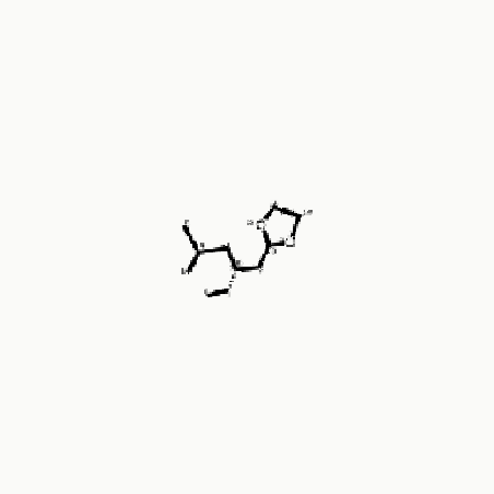 CC[C@H](CC(C)C)CC1OCCO1